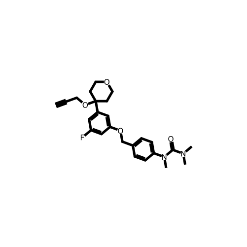 C#CCOC1(c2cc(F)cc(OCc3ccc(N(C)C(=O)N(C)C)cc3)c2)CCOCC1